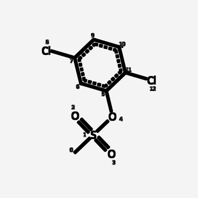 CS(=O)(=O)Oc1cc(Cl)c[c]c1Cl